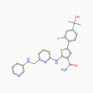 CC(C)(O)c1ccc(-c2cc(C(N)=O)c(Nc3cccc(CNc4cccnc4)n3)s2)c(F)c1